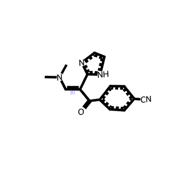 CN(C)/C=C(/C(=O)c1ccc(C#N)cc1)c1ncc[nH]1